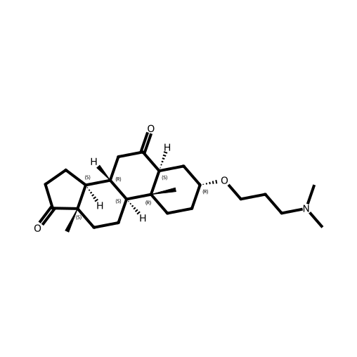 CN(C)CCCO[C@@H]1CC[C@@]2(C)[C@H](C1)C(=O)C[C@@H]1[C@@H]2CC[C@]2(C)C(=O)CC[C@@H]12